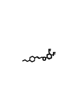 CCCC1CCC(/C=C/COc2ccc(F)c(F)c2)CC1